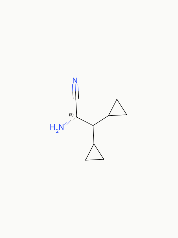 N#C[C@@H](N)C(C1CC1)C1CC1